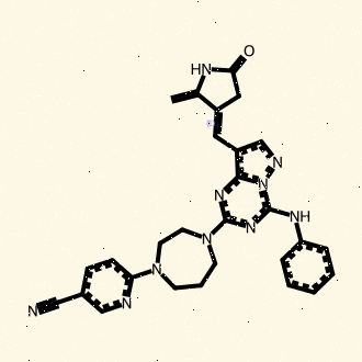 C=C1NC(=O)C/C1=C\c1cnn2c(Nc3ccccc3)nc(N3CCCN(c4ccc(C#N)cn4)CC3)nc12